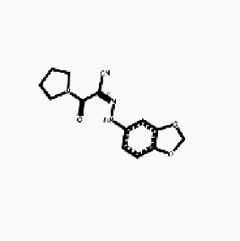 N#C/C(=N/Nc1ccc2c(c1)OCO2)C(=O)N1CCCC1